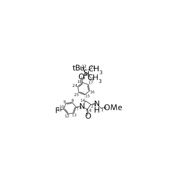 COCN[C@H]1C(=O)N(c2ccc(F)cc2)[C@@H]1c1ccc(O[Si](C)(C)C(C)(C)C)cc1